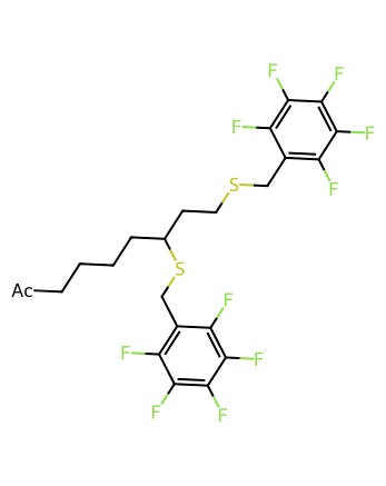 CC(=O)CCCCC(CCSCc1c(F)c(F)c(F)c(F)c1F)SCc1c(F)c(F)c(F)c(F)c1F